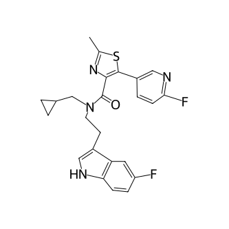 Cc1nc(C(=O)N(CCc2c[nH]c3ccc(F)cc23)CC2CC2)c(-c2ccc(F)nc2)s1